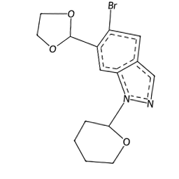 Brc1cc2cnn(C3CCCCO3)c2cc1C1OCCO1